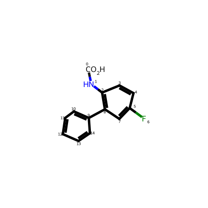 O=C(O)Nc1ccc(F)cc1-c1ccccc1